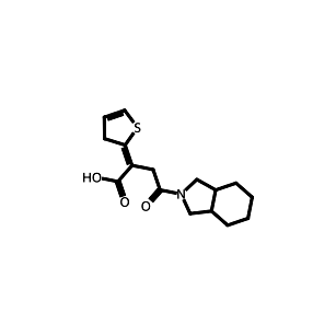 O=C(O)/C(CC(=O)N1CC2CCCCC2C1)=C1\CC=CS1